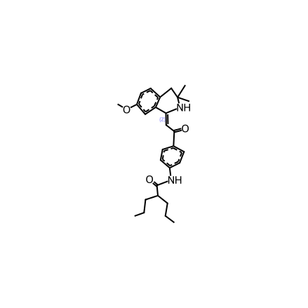 CCCC(CCC)C(=O)Nc1ccc(C(=O)/C=C2\NC(C)(C)Cc3ccc(OC)cc32)cc1